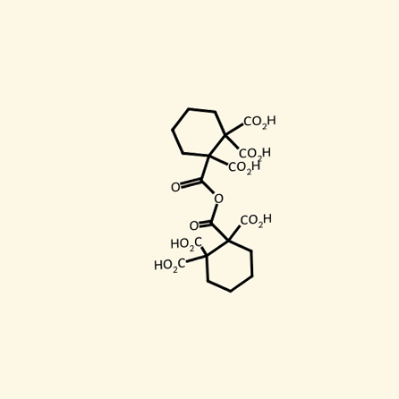 O=C(O)C1(C(=O)O)CCCCC1(C(=O)O)C(=O)OC(=O)C1(C(=O)O)CCCCC1(C(=O)O)C(=O)O